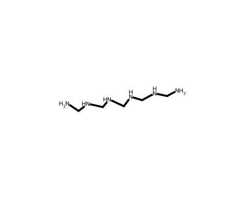 NCNCNCNCNCN